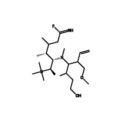 C=CC(COC)C(C(C)CCO)N(C)[C@@H]([C@H](C)C(C)CC(=N)F)[C@@H](C)[Si](C)(C)C